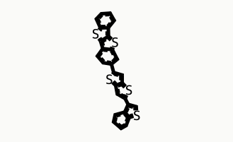 c1ccc2c(-c3cc4sc(-c5ccc6c(c5)sc5c7ccccc7sc65)cc4s3)csc2c1